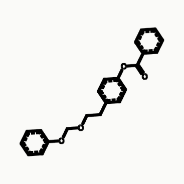 O=C(Oc1ccc(CCOCOc2ccccc2)cc1)c1ccccc1